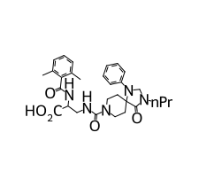 CCCN1CN(c2ccccc2)C2(CCN(C(=O)NCC(NC(=O)c3c(C)cccc3C)C(=O)O)CC2)C1=O